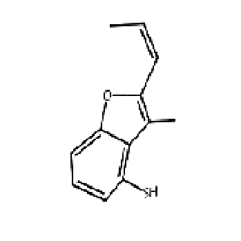 C/C=C\c1oc2cccc(S)c2c1C